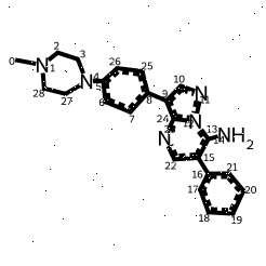 CN1CCN(c2ccc(-c3cnn4c(N)c(-c5ccccc5)cnc34)cc2)CC1